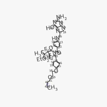 C=C(C)C(F)(F)C(=O)N(C(=O)c1ccc(NCc2cnc3nc(N)nc(O)c3n2)cc1)[C@@H](Cc1ccc(OCCOC/C=C\C)cc1)C(=O)OCC